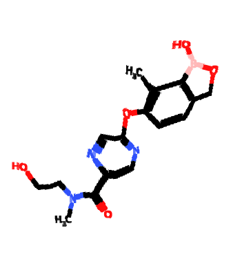 Cc1c(Oc2cnc(C(=O)N(C)CCO)cn2)ccc2c1B(O)OC2